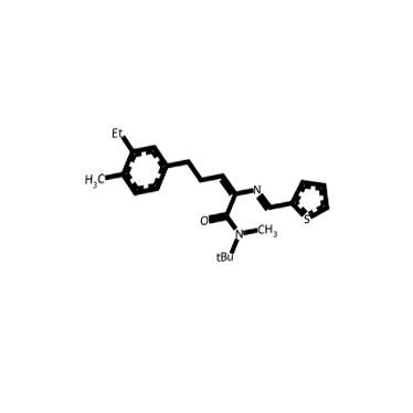 CCc1cc(CC/C=C(/N=C/c2cccs2)C(=O)N(C)C(C)(C)C)ccc1C